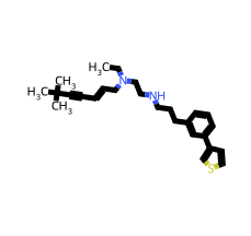 CCN(C/C=C/C#CC(C)(C)C)CCNCCCc1cccc(-c2ccsc2)c1